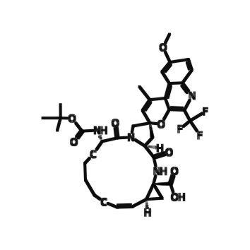 COc1ccc2nc(C(F)(F)F)c3c(c2c1)C(C)=C[C@]1(C[C@H]2C(=O)N[C@]4(C(=O)O)C[C@H]4C=CCCCCC[C@H](NC(=O)OC(C)(C)C)C(=O)N2C1)O3